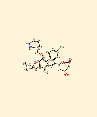 CC(C)c1c(/C=C/[C@@H]2C[C@@H](O)CC(=O)O2)c(-c2ccc(F)cc2)c(OCc2ccccn2)c2c1CC(C)(C)O2